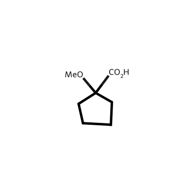 COC1(C(=O)O)CCCC1